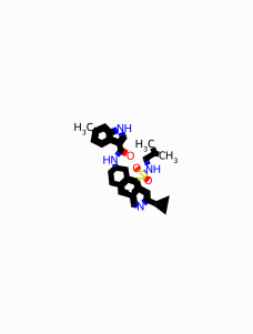 Cc1ccc2c(C(=O)NC3CCc4cc5cnc(C6CC6)cc5c(S(=O)(=O)NCC(C)C)c4C3)c[nH]c2c1